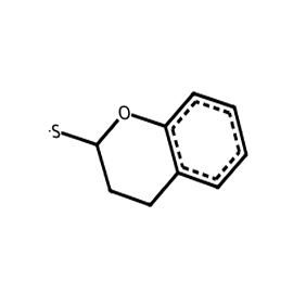 [S]C1CCc2ccccc2O1